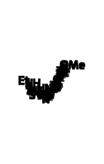 CCNCc1csc(-c2cc3ncnc(Nc4cccc(OCc5ccc(OC)cc5)c4)c3s2)c1